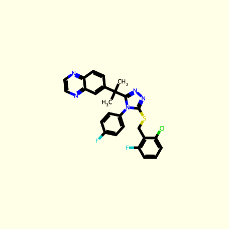 CC(C)(c1ccc2nccnc2c1)c1nnc(SCc2c(F)cccc2Cl)n1-c1ccc(F)cc1